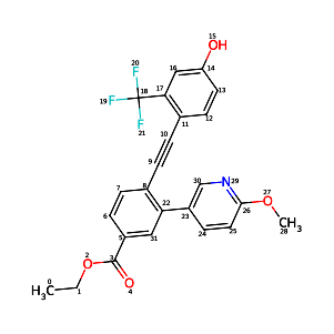 CCOC(=O)c1ccc(C#Cc2ccc(O)cc2C(F)(F)F)c(-c2ccc(OC)nc2)c1